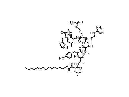 CCCCCCCCCCCCCCCC(=O)N[C@@H](CC(C)C)C(=O)N[C@@H](C)C(=O)N[C@@H](Cc1ccc(O)cc1)C(=O)N[C@@H](C)C(=O)N[C@@H](CCCNC(=N)N)C(=O)N[C@@H](CCCNC(=N)N)C(=O)N[C@@H](CC(C)C)C(=O)N[C@@H](Cc1c[nH]cn1)C(=O)NC